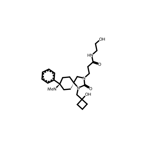 CN[C@]1(c2ccccc2)CC[C@]2(CC1)CN(CCC(=O)NCCO)C(=O)N2CC1(O)CCC1